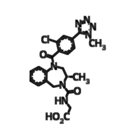 C[C@@H]1CN(C(=O)c2ccc(-c3nnnn3C)cc2Cl)c2ccccc2CN1C(=O)NCC(=O)O